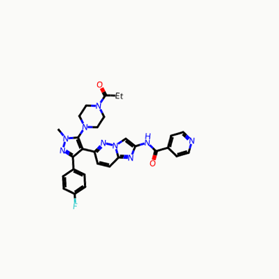 CCC(=O)N1CCN(c2c(-c3ccc4nc(NC(=O)c5ccncc5)cn4n3)c(-c3ccc(F)cc3)nn2C)CC1